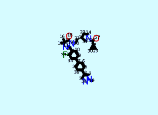 Cn1cc(-c2ccc(-c3ccc(C4=NC(C)(C)C(=O)N4CC[C@@H]4CCN(C(=O)C5CC5)C4)c(F)c3)cc2)cn1